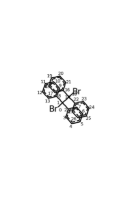 BrC(c1ccccc1)(c1ccccc1)C(Br)(c1ccccc1)c1ccccc1